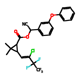 CC1(C)C(C=C(Cl)C(F)(F)C(F)(F)F)C1C(=O)OC(C#N)c1cccc(Oc2ccccc2)c1